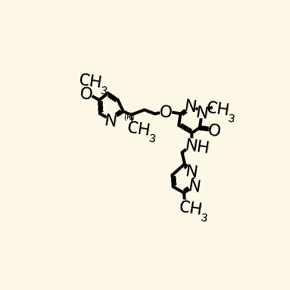 COc1ccc([C@H](C)CCOc2cc(NCc3ccc(C)nn3)c(=O)n(C)n2)nc1